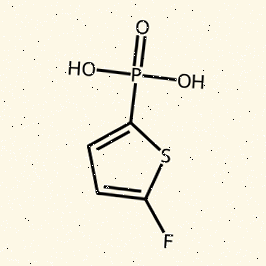 O=P(O)(O)c1ccc(F)s1